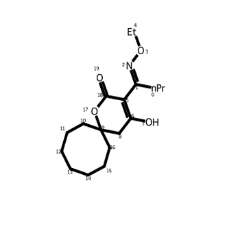 CCCC(=NOCC)C1=C(O)CC2(CCCCCCC2)OC1=O